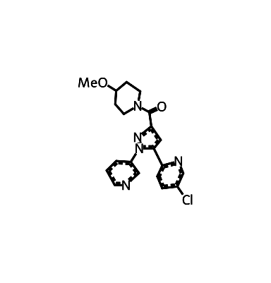 COC1CCN(C(=O)c2cc(-c3ccc(Cl)cn3)n(-c3cccnc3)n2)CC1